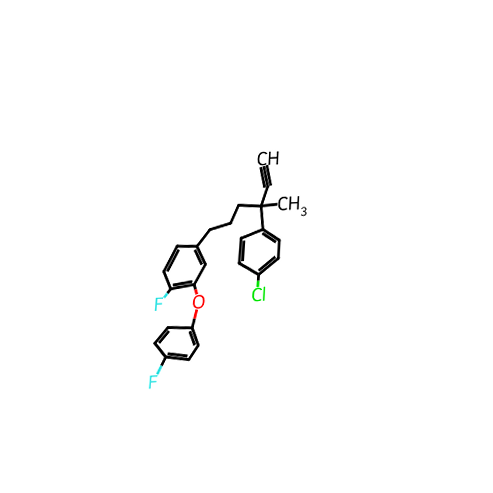 C#CC(C)(CCCc1ccc(F)c(Oc2ccc(F)cc2)c1)c1ccc(Cl)cc1